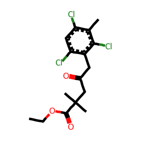 CCOC(=O)C(C)(C)CC(=O)Cc1c(Cl)cc(Cl)c(C)c1Cl